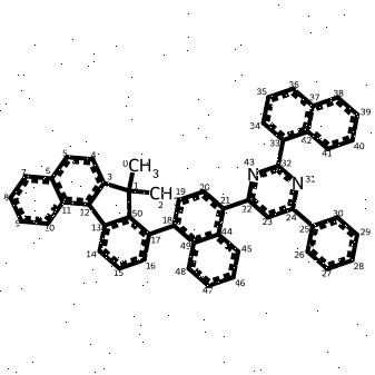 CC1(C)c2ccc3ccccc3c2-c2cccc(-c3ccc(-c4cc(-c5ccccc5)nc(-c5cccc6ccccc56)n4)c4ccccc34)c21